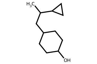 CC(CC1CCC(O)CC1)C1CC1